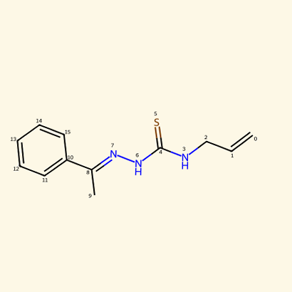 C=CCNC(=S)NN=C(C)c1ccccc1